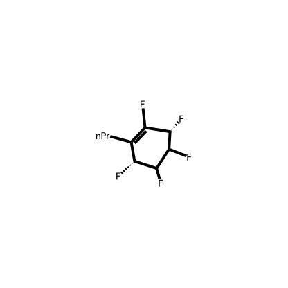 CCCC1=C(F)[C@H](F)C(F)C(F)[C@@H]1F